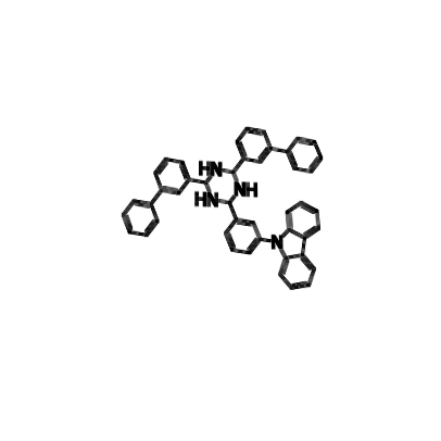 c1ccc(-c2cccc(C3NC(c4cccc(-c5ccccc5)c4)NC(c4cccc(-n5c6ccccc6c6ccccc65)c4)N3)c2)cc1